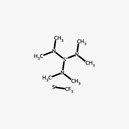 CN(C)[S+](N(C)C)N(C)C.FC(F)(F)[S-]